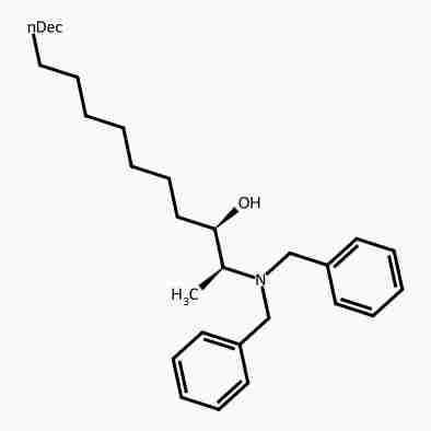 CCCCCCCCCCCCCCCCC[C@@H](O)[C@H](C)N(Cc1ccccc1)Cc1ccccc1